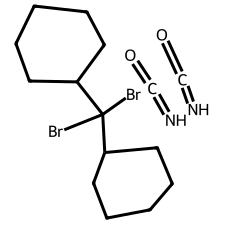 BrC(Br)(C1CCCCC1)C1CCCCC1.N=C=O.N=C=O